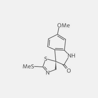 COc1ccc2c(c1)NC(=O)[C@@]21CN=C(SC)S1